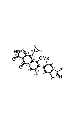 COc1c(-c2ccc3c(c2)CN[C@@H]3C)c(F)cn2c(=O)c3c(=O)[nH]sc3c(C3CC3)c12